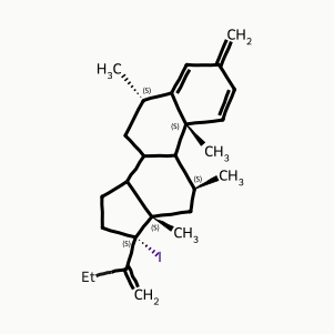 C=C1C=C[C@@]2(C)C(=C1)[C@@H](C)CC1C2[C@@H](C)C[C@@]2(C)C1CC[C@]2(I)C(=C)CC